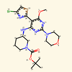 COc1nc(N2CCOCC2)nc(N[C@@H]2CCCN(C(=O)OC(C)(C)C)C2)c1-c1nc(Br)cs1